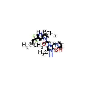 CC(C)CC(F)(F)c1cnc2c(c1)N(C(=O)CN1C[C@@H](C)NC[C@@H]1CN1CCCC1O)CC2(C)C